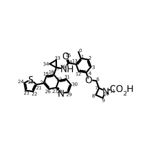 Cc1ccc(OCC2CCN2C(=O)O)cc1C(=O)NC1(c2cc(-c3cccs3)cc3ncccc23)CC1